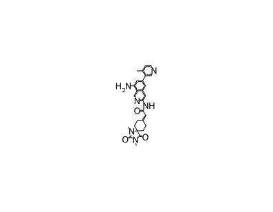 Cc1ccncc1-c1cc(N)c2cnc(NC(=O)C=C3CCC4(CC3)C(=O)N(C)C(=O)N4C)cc2c1